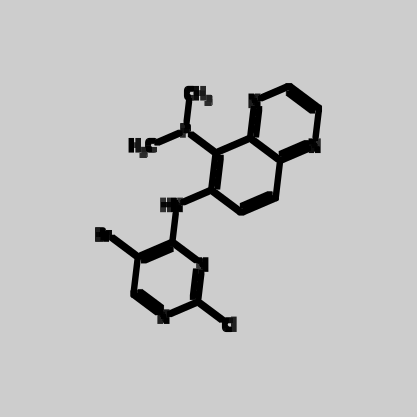 CP(C)c1c(Nc2nc(Cl)ncc2Br)ccc2nccnc12